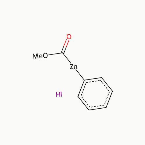 CO[C](=O)[Zn][c]1ccccc1.I